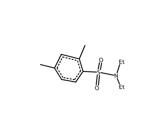 CCN(CC)S(=O)(=O)c1ccc(C)cc1C